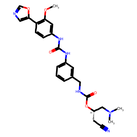 COc1cc(NC(=O)Nc2cccc(CNC(=O)O[C@@H](CC#N)CN(C)C)c2)ccc1-c1cnco1